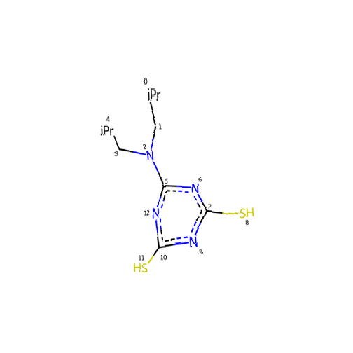 CC(C)CN(CC(C)C)c1nc(S)nc(S)n1